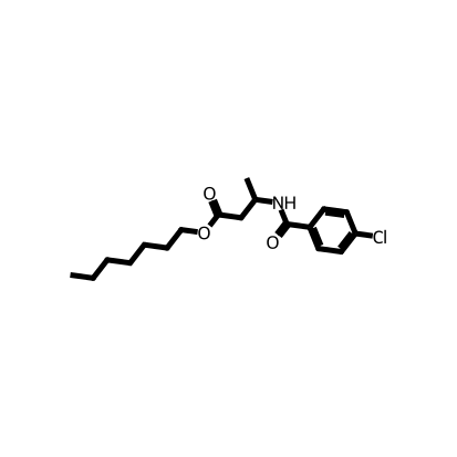 CCCCCCCOC(=O)CC(C)NC(=O)c1ccc(Cl)cc1